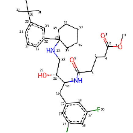 COC(=O)CCCC(=O)NC(Cc1cc(F)cc(F)c1)[C@H](O)CNC1(c2cccc(C(C)(C)C)c2)CCCCC1